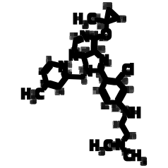 Cc1ccnc(Cn2c(-c3ccc(NCCN(C)C)cc3Cl)nc3c(OC4(C)CC4)ncnc32)c1